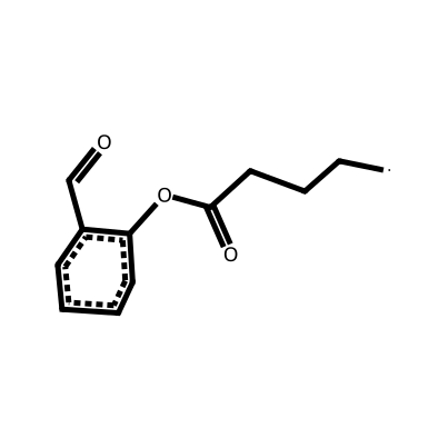 [CH2]CCCC(=O)Oc1ccccc1C=O